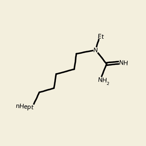 CCCCCCCCCCCCN(CC)C(=N)N